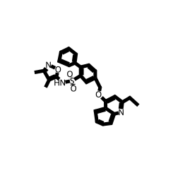 CCc1cc(OCc2ccc(-c3ccccc3)c(S(=O)(=O)Nc3onc(C)c3C)c2)c2ccccc2n1